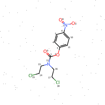 O=C(Oc1ccc([N+](=O)[O-])cc1)N(CCCl)CCCl